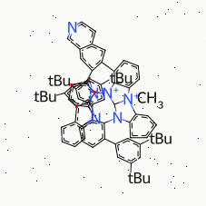 CC(C)(C)c1cc(-c2cccc(-c3cc(C(C)(C)C)cc(C(C)(C)C)c3)c2N2c3ccccc3[N+]3(C)c4cccc5c4[N+]4(c6c(ccc7c8ccccc8n(c67)-c6cc(C(C)(C)C)cc[n+]64)-c4cc6cnccc6cc4-5)C23)cc(C(C)(C)C)c1